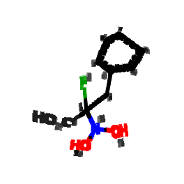 O=C(O)C(F)(Cc1ccccc1)N(O)O